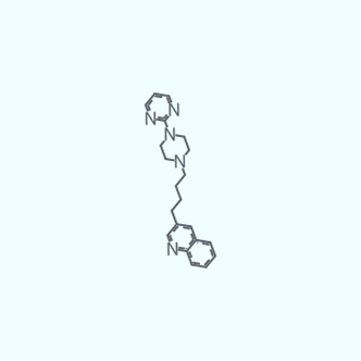 c1cnc(N2CCN(CCCCc3cnc4ccccc4c3)CC2)nc1